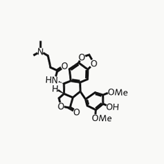 COc1cc(C2c3cc4c(cc3[C@@H](NC(=O)CCN(C)C)[C@H]3COC(=O)C23)OCO4)cc(OC)c1O